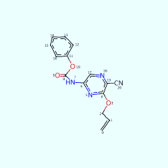 C=CCOc1nc(NC(=O)Oc2ccccc2)cnc1C#N